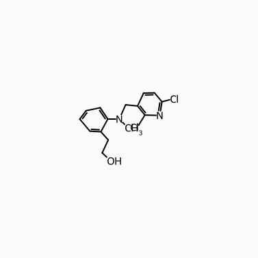 CN(Cc1ccc(Cl)nc1Cl)c1ccccc1CCO